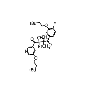 CCC(C)(C(=O)c1cncc(OCCC(C)(C)C)c1)C(C)(C)C(=O)c1ccc(F)c(OCCC(C)(C)C)n1